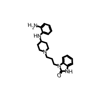 Nc1ccccc1NC1CCN(CCCn2c(=O)[nH]c3ccccc32)CC1